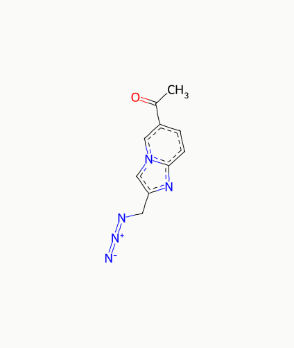 CC(=O)c1ccc2nc(CN=[N+]=[N-])cn2c1